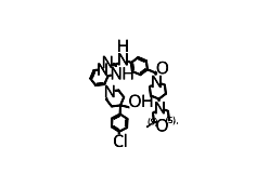 C[C@H]1CN(C2CCN(C(=O)c3ccc(NC4=NN5C=CC=C(N6CCC(CO)(c7ccc(Cl)cc7)CC6)C5N4)cc3)CC2)C[C@H](C)O1